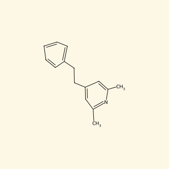 Cc1cc(CCc2ccccc2)cc(C)n1